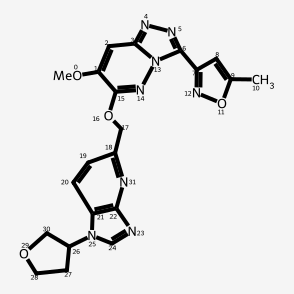 COc1cc2nnc(-c3cc(C)on3)n2nc1OCc1ccc2c(ncn2C2CCOC2)n1